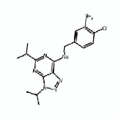 CC(C)c1nc(NCc2ccc(Cl)c(N)c2)c2nnn(C(C)C)c2n1